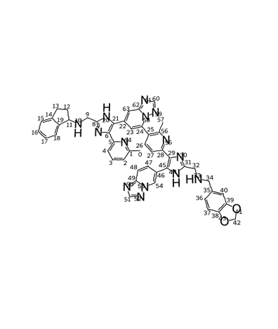 Cc1cccc(-c2nc(CNC3CCc4ccccc43)[nH]c2-c2cc(-c3ccc(-c4nc(CNCc5ccc6c(c5)OCO6)[nH]c4-c4ccc5ncnn5c4)nc3C)n3ncnc3c2)n1